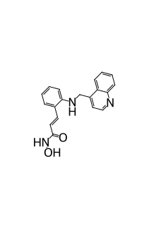 O=C(C=Cc1ccccc1NCc1ccnc2ccccc12)NO